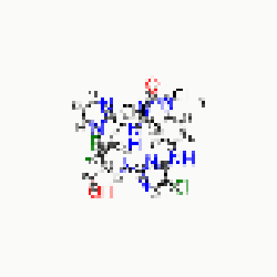 Cn1c(=O)nc(NC(C)(C)c2ncccn2)c2cc(Nc3nc(N4CCC(F)(F)C(CO)C4)ncc3Cl)ccc21